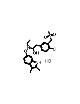 CCN(Oc1ccc2c(C)c(C)[nH]c2c1)C(O)Cc1ccc(Cl)c(CS(C)(=O)=O)c1.Cl